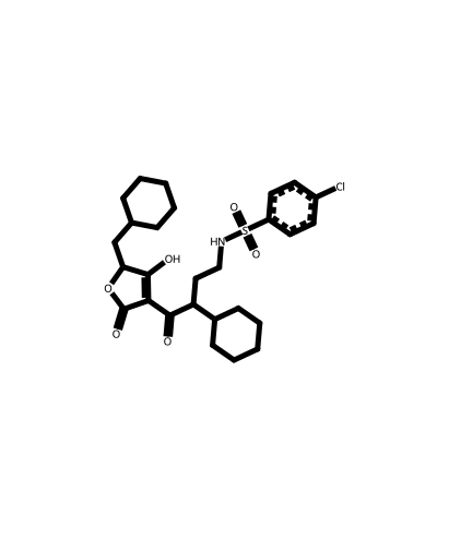 O=C1OC(CC2CCCCC2)C(O)=C1C(=O)C(CCNS(=O)(=O)c1ccc(Cl)cc1)C1CCCCC1